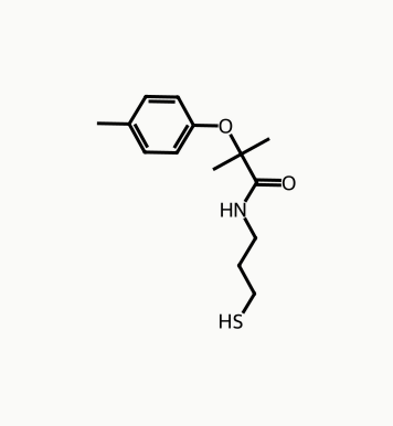 Cc1ccc(OC(C)(C)C(=O)NCCCS)cc1